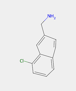 NCc1ccc2cccc(Cl)c2c1